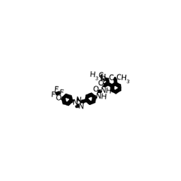 CC(C)c1ccccc1C1=C(NC(=O)Nc2ccc(-c3ncn(-c4ccc(OC(F)(F)F)cc4)n3)cc2)ON(C)C1